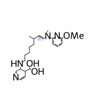 COc1cccc(N(C)/C=C/C(C)CCCCCNC2C=NC=CC2C(O)O)n1